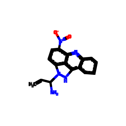 C=CC(N)N1Nc2c3ccccc3nc3c([N+](=O)[O-])ccc1c23